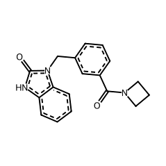 O=C(c1cccc(Cn2c(=O)[nH]c3ccccc32)c1)N1CCC1